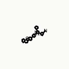 N#Cc1cccc(-c2cc(-c3ccccc3)nc(-c3ccc(-c4ccc5c(c4)oc4c6ccccc6ccc54)cc3)n2)c1